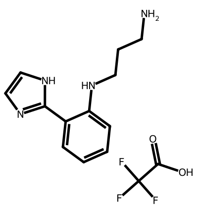 NCCCNc1ccccc1-c1ncc[nH]1.O=C(O)C(F)(F)F